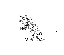 CSCO[C@]1(C(=O)COC(C)=O)CC[C@H]2[C@@H]3CCC4=CC(=O)C=C[C@]4(C)[C@H]3[C@@H](O)C[C@@]21C